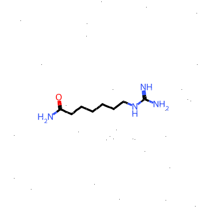 N=C(N)NCCCCCCC(N)=O